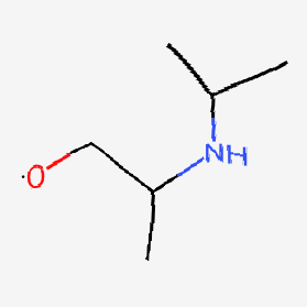 CC(C)NC(C)C[O]